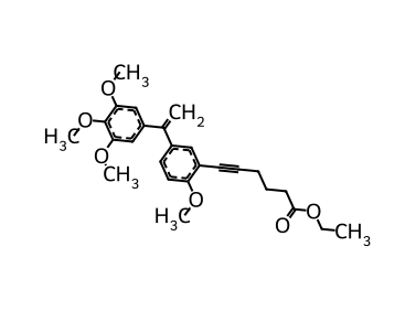 C=C(c1ccc(OC)c(C#CCCCC(=O)OCC)c1)c1cc(OC)c(OC)c(OC)c1